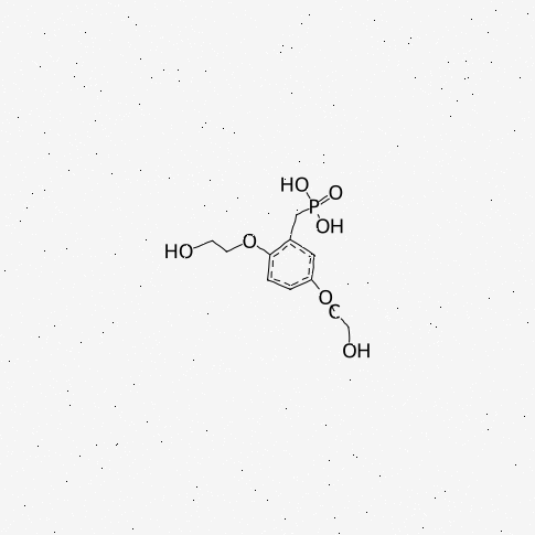 O=P(O)(O)Cc1cc(OCCO)ccc1OCCO